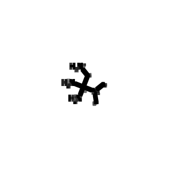 CN(C)C(N)(N)CN